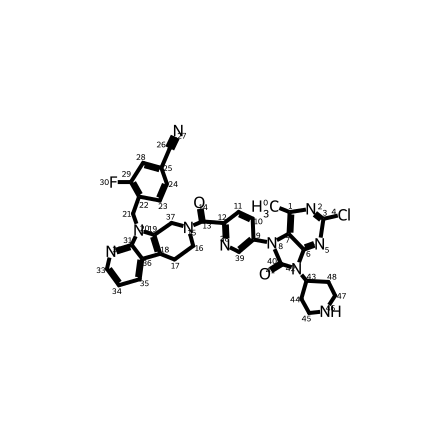 Cc1nc(Cl)nc2c1n(-c1ccc(C(=O)N3CCc4c(n(Cc5ccc(C#N)cc5F)c5ncccc45)C3)nc1)c(=O)n2C1CCNCC1